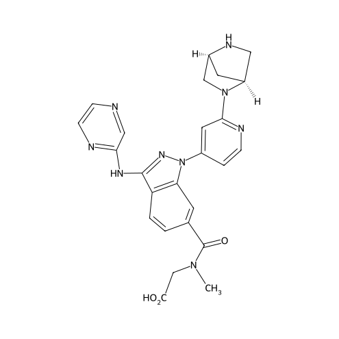 CN(CC(=O)O)C(=O)c1ccc2c(Nc3cnccn3)nn(-c3ccnc(N4C[C@@H]5C[C@H]4CN5)c3)c2c1